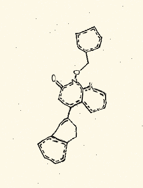 O=c1cc(C2=Cc3ccccc3CC2)c2cccnc2n1OCc1ccccc1